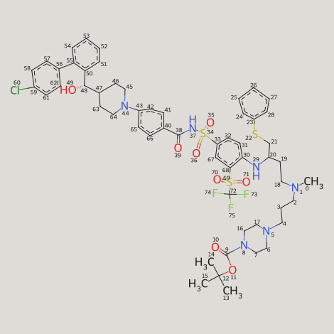 CN(CCCN1CCN(C(=O)OC(C)(C)C)CC1)CCC(CSc1ccccc1)Nc1ccc(S(=O)(=O)NC(=O)c2ccc(N3CCC([C@H](O)c4ccccc4-c4ccc(Cl)cc4)CC3)cc2)cc1S(=O)(=O)C(F)(F)F